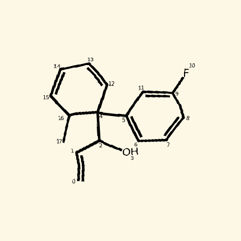 C=CC(O)C1(c2cccc(F)c2)C=CC=CC1C